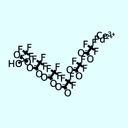 O=C([O-])C(F)(F)F.O=C([O-])C(F)(F)F.O=C([O-])C(F)(F)F.O=C([O-])C(F)(F)F.O=C([O-])C(F)(F)F.O=S(=O)(O)C(F)(F)F.[Ce+3].[Pd+2]